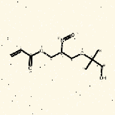 C=CC(=O)OCC(COC(C)(C)CO)N=O